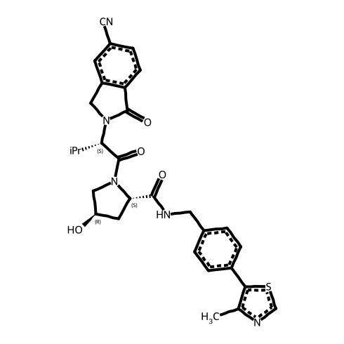 Cc1ncsc1-c1ccc(CNC(=O)[C@@H]2C[C@@H](O)CN2C(=O)[C@H](C(C)C)N2Cc3cc(C#N)ccc3C2=O)cc1